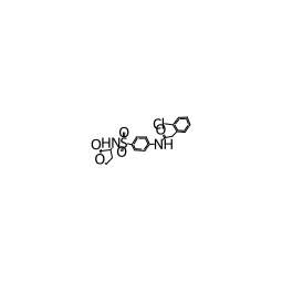 O=C(Cc1ccccc1Cl)Nc1ccc(S(=O)(=O)NC2CCOC2=O)cc1